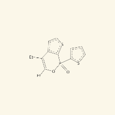 CCC1=C(CC)c2ccsc2P(=O)(c2cccs2)O1